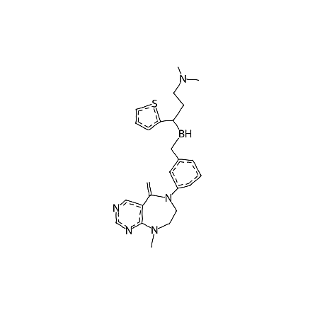 C=C1c2cncnc2N(C)CCN1c1cccc(CBC(CCN(C)C)c2cccs2)c1